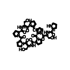 O=C(N[C@@H](CO)C(=O)N1CCC[C@H]1C(=O)N1CCC[C@H]1C(=O)N[C@@H](CO)C(=O)N1CCC[C@H]1C(=O)N1CCC[C@H]1C(=O)N[C@@H](CO)C(=O)N1CCC[C@H]1C(=O)O)[C@@H]1CCCN1